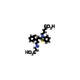 Cc1ccccc1C(=C\C=N\CCC(=O)O)/C=C1\Sc2ccccc2N1CCCCC(=O)O